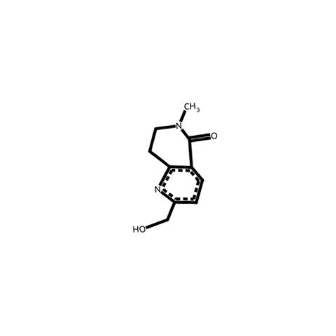 CN1CCc2nc(CO)ccc2C1=O